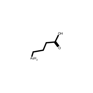 O=C(O)CCC[AsH2]